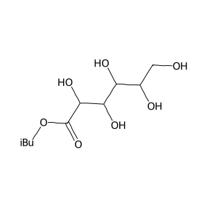 CCC(C)OC(=O)C(O)C(O)C(O)C(O)CO